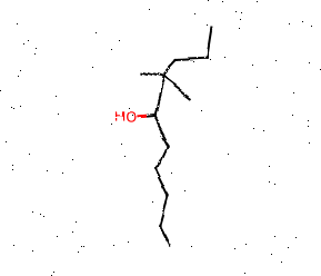 CCCCCC(O)C(C)(C)CCC